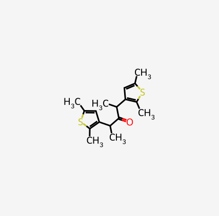 Cc1cc(C(C)C(=O)C(C)c2cc(C)sc2C)c(C)s1